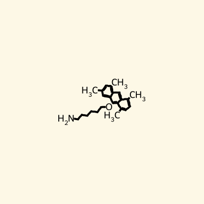 Cc1cc(C)c2cc3c(C)ccc(C)c3c(OCCCCCCN)c2c1